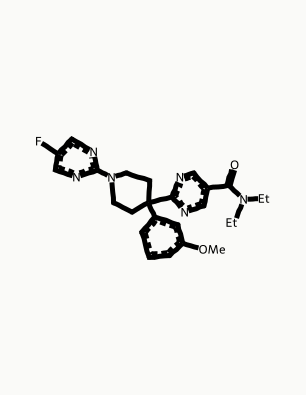 CCN(CC)C(=O)c1cnc(C2(c3cccc(OC)c3)CCN(c3ncc(F)cn3)CC2)nc1